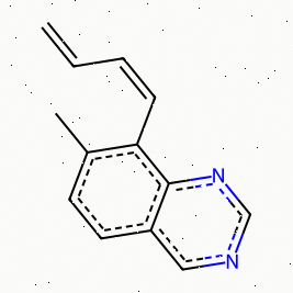 C=C/C=C\c1c(C)ccc2cncnc12